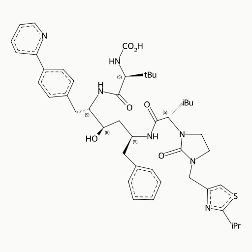 CCC(C)[C@@H](C(=O)N[C@@H](Cc1ccccc1)C[C@@H](O)[C@H](Cc1ccc(-c2ccccn2)cc1)NC(=O)[C@@H](NC(=O)O)C(C)(C)C)N1CCN(Cc2csc(C(C)C)n2)C1=O